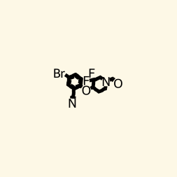 N#Cc1cc(Br)ccc1OC1CCN(C=O)CC1(F)F